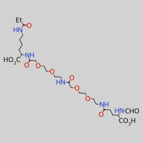 CCC(=O)NCCCCC(NC(=O)COCCOCCNC(=O)COCCOCCNC(=O)CCC(NC=O)C(=O)O)C(=O)O